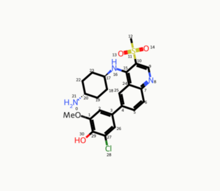 COc1cc(-c2ccc3ncc(S(C)(=O)=O)c(N[C@H]4CC[C@H](N)CC4)c3c2)cc(Cl)c1O